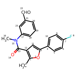 Cc1oc(-c2ccc(F)cc2)cc1C(=O)N(C)c1cccc(C=O)c1